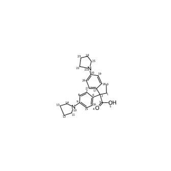 CCC(C(=O)O)(c1ccc(N2CCCC2)cc1)c1ccc(N2CCCC2)cc1